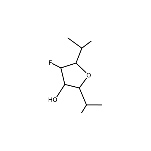 CC(C)C1OC(C(C)C)C(F)C1O